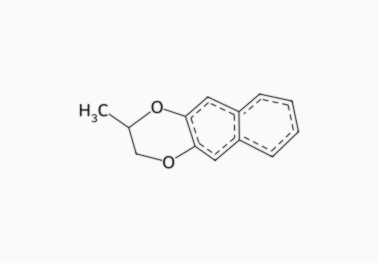 CC1COc2cc3ccccc3cc2O1